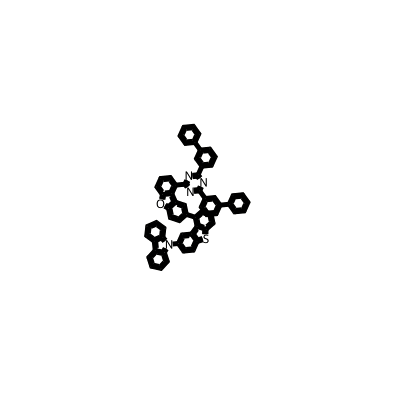 c1ccc(-c2cccc(-c3nc(-c4cccc(-c5ccccc5)c4)nc(-c4cccc5oc6ccc(-c7cccc8sc9ccc(-n%10c%11ccccc%11c%11ccccc%11%10)cc9c78)cc6c45)n3)c2)cc1